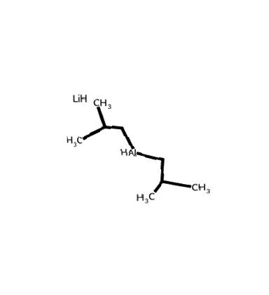 CC(C)[CH2][AlH][CH2]C(C)C.[LiH]